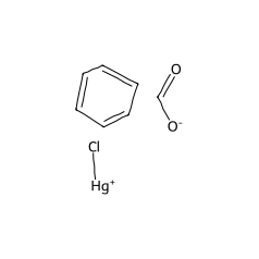 O=C[O-].[Cl][Hg+].c1ccccc1